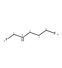 FCCCNCF